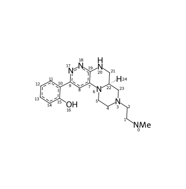 CNCCN1CCN2c3cc(-c4ccccc4O)nnc3NC[C@H]2C1